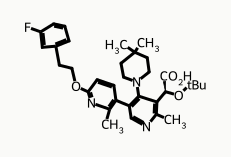 Cc1nc(OCCc2cccc(F)c2)ccc1-c1cnc(C)c([C@H](OC(C)(C)C)C(=O)O)c1N1CCC(C)(C)CC1